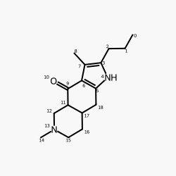 CCCc1[nH]c2c(c1C)C(=O)C1CN(C)CCC1C2